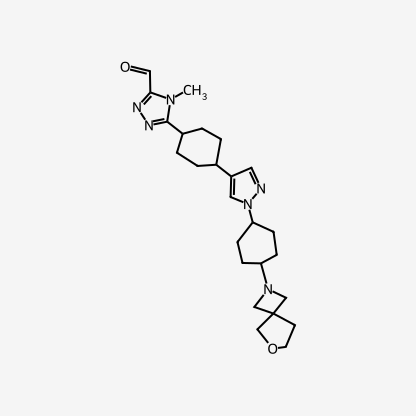 Cn1c(C=O)nnc1C1CCC(c2cnn(C3CCC(N4CC5(CCOC5)C4)CC3)c2)CC1